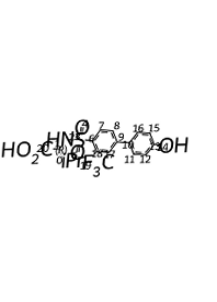 CC(C)[C@@H](NS(=O)(=O)c1ccc(-c2ccc(O)cc2)cc1C(F)(F)F)C(=O)O